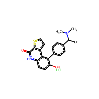 CCC(c1ccc(-c2c(O)ccc3[nH]c(=O)c4sccc4c23)cc1)N(C)C.Cl